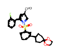 O=Cc1cc(-c2ccccc2F)n(S(=O)(=O)c2cccc(C3CCC4(CC3)OCCO4)c2)c1